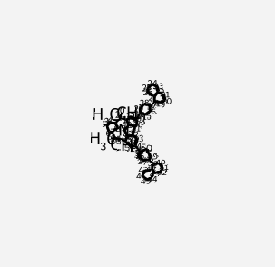 CC1(C)c2cccc3c2-n2c4c1cc(-c1ccc(-c5cccc6ccccc56)cc1)cc4c1cc(-c4ccc(-c5cccc6ccccc56)cc4)cc(c12)C3(C)C